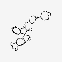 O=C1N(CC2CCN(C3CCOCC3)CC2)c2ccccc2C12COc1cc3c(cc12)OCO3